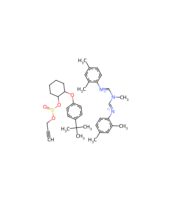 C#CCOS(=O)OC1CCCCC1Oc1ccc(C(C)(C)C)cc1.Cc1ccc(/N=C/N(C)/C=N/c2ccc(C)cc2C)c(C)c1